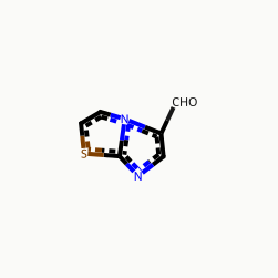 O=Cc1cnc2sccn12